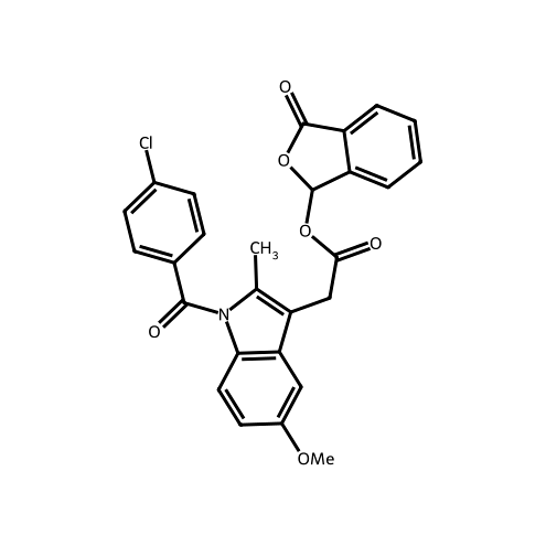 COc1ccc2c(c1)c(CC(=O)OC1OC(=O)c3ccccc31)c(C)n2C(=O)c1ccc(Cl)cc1